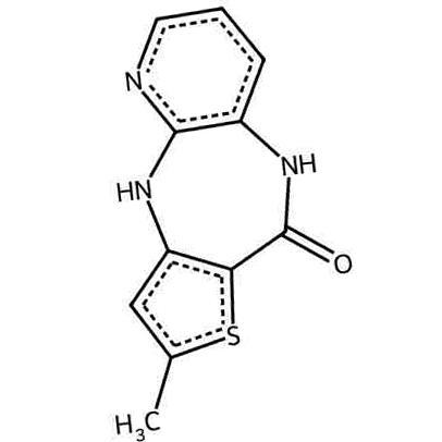 Cc1cc2c(s1)C(=O)Nc1cccnc1N2